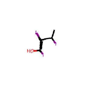 CC(I)C(I)=C(O)I